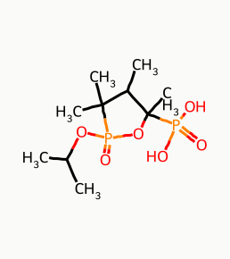 CC(C)OP1(=O)OC(C)(P(=O)(O)O)C(C)C1(C)C